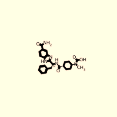 CN(C(=O)O)[C@H]1CC[C@H](C(=O)N[C@@H](Cc2ccccc2)c2nc3cc(C(N)=O)ccc3[nH]2)CC1